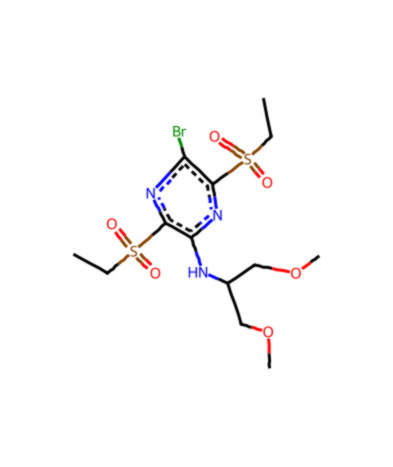 CCS(=O)(=O)c1nc(NC(COC)COC)c(S(=O)(=O)CC)nc1Br